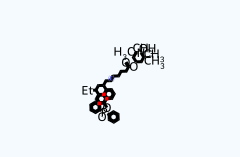 CCC(CC(C/C=C/CCCC(=O)OC1CC(C)(C)N(O)C(C)(C)C1)c1ccccc1)c1ccc(OP(=O)(c2ccccc2)c2ccccc2)cc1